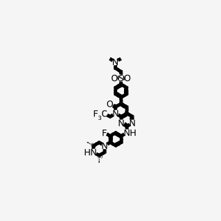 C[C@@H]1CN(c2ccc(Nc3ncc4cc(-c5ccc(S(=O)(=O)CCN(C)C)cc5)c(=O)n(CC(F)(F)F)c4n3)cc2F)C[C@H](C)N1